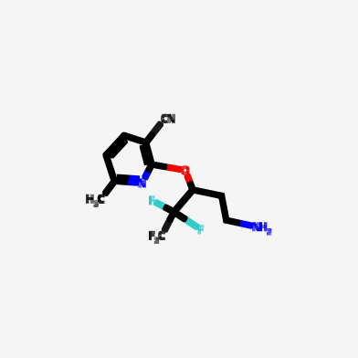 Cc1ccc(C#N)c(OC(CCN)C(F)(F)C(F)(F)F)n1